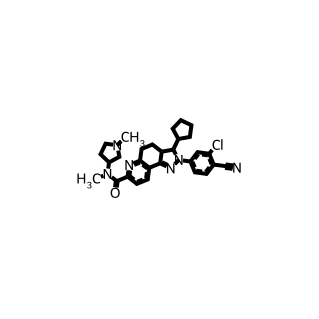 CN1CCC(N(C)C(=O)c2ccc3c(n2)CCC2C3=NN(c3ccc(C#N)c(Cl)c3)C2C2CCCC2)C1